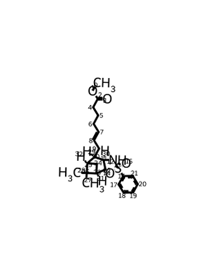 COC(=O)CCCC=CC[C@@H]1[C@@H](NS(=O)(=O)c2ccccc2)C[C@H]2C[C@@H]1C2(C)C